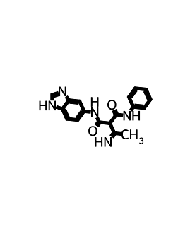 CC(=N)C(C(=O)Nc1ccccc1)C(=O)Nc1ccc2[nH]cnc2c1